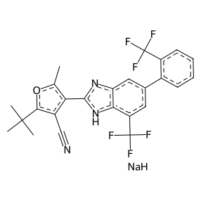 Cc1oc(C(C)(C)C)c(C#N)c1-c1nc2cc(-c3ccccc3C(F)(F)F)cc(C(F)(F)F)c2[nH]1.[NaH]